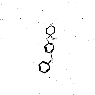 CC(=O)OC1(Sc2ccc(Oc3ccccc3)cc2)CCOCC1